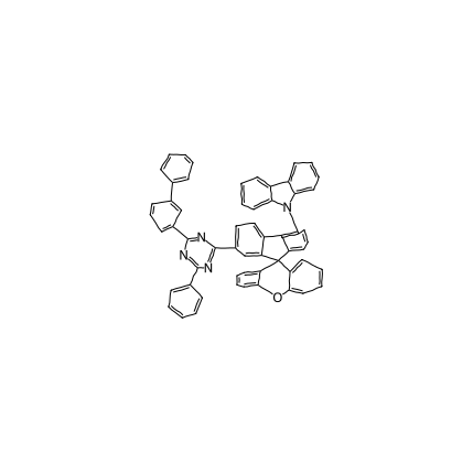 c1ccc(-c2cccc(-c3nc(-c4ccccc4)nc(-c4ccc5c(c4)C4(c6ccccc6Oc6ccccc64)c4cccc(-n6c7ccccc7c7ccccc76)c4-5)n3)c2)cc1